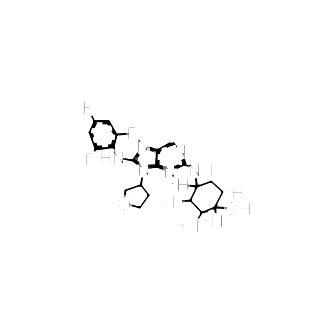 [2H]C1C([2H])C([2H])(O)C([2H])CC1([2H])Nc1ncc2nc(Nc3c(F)cc(F)cc3F)n(C3CCOC3)c2n1